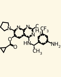 Cc1nc(N[C@H](C)c2cc(N)cc(C(F)(F)F)c2)c2cc(OC(=O)C3CC3)c(N3CCCC3)nc2n1